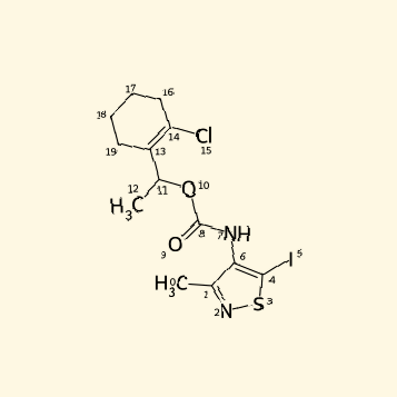 Cc1nsc(I)c1NC(=O)OC(C)C1=C(Cl)CCCC1